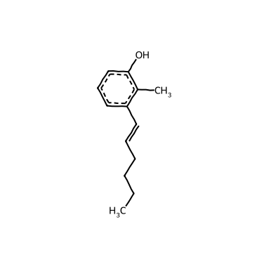 CCCCC=Cc1cccc(O)c1C